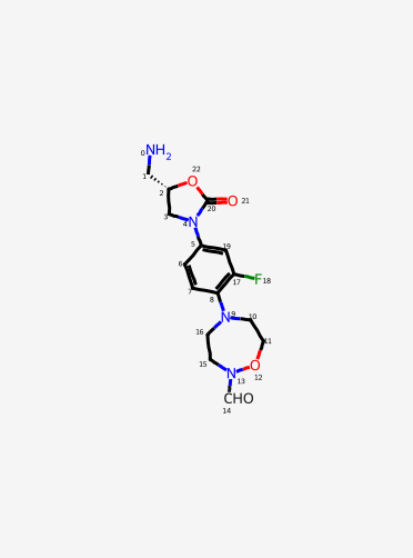 NC[C@H]1CN(c2ccc(N3CCON(C=O)CC3)c(F)c2)C(=O)O1